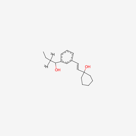 [2H]C([2H])(CC)C(O)c1cccc(/C=C/C2(O)CCCCC2)c1